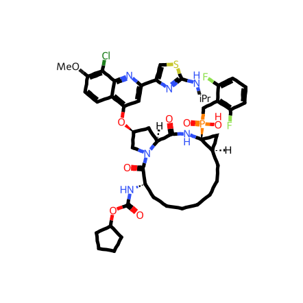 COc1ccc2c(O[C@H]3C[C@H]4C(=O)N[C@]5(P(=O)(O)Cc6c(F)cccc6F)C[C@H]5CCCCCCC[C@H](NC(=O)OC5CCCC5)C(=O)N4C3)cc(-c3csc(NC(C)C)n3)nc2c1Cl